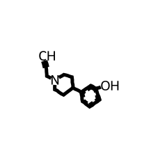 C#CCN1CCC(c2cccc(O)c2)CC1